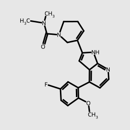 COc1ccc(F)cc1-c1ccnc2[nH]c(C3=CCCN(C(=O)N(C)C)C3)cc12